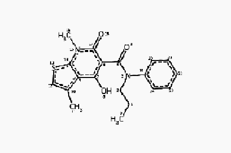 CCCN(C(=O)c1c(O)c2c(C)csc2n(C)c1=O)c1ccccc1